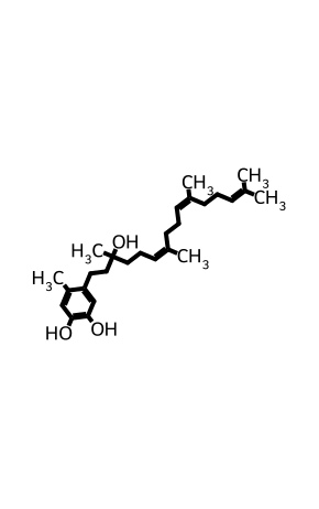 CC(C)=CCCC(C)=CCCC(C)=CCCC(C)(O)CCc1cc(O)c(O)cc1C